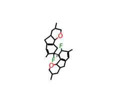 CC1=CC2=C(C3OCC(C)CC3C2)[C@@H](C2(F)CC3=C(C=C2C)CC2CC(C)COC32)C1F